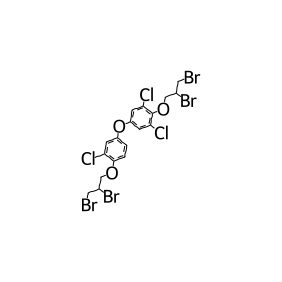 Clc1cc(Oc2cc(Cl)c(OCC(Br)CBr)c(Cl)c2)ccc1OCC(Br)CBr